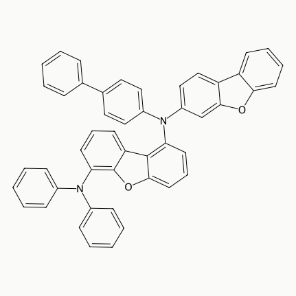 c1ccc(-c2ccc(N(c3ccc4c(c3)oc3ccccc34)c3cccc4oc5c(N(c6ccccc6)c6ccccc6)cccc5c34)cc2)cc1